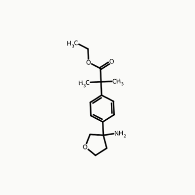 CCOC(=O)C(C)(C)c1ccc(C2(N)CCOC2)cc1